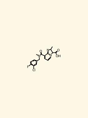 CC1N=C2C(C(=O)N(C)Cc3ccc(F)c(Cl)c3)=CC=CN2C1C(=O)O